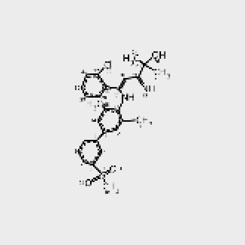 Cc1cc(-c2cccc(S(C)(=O)=O)c2)cc(C)c1N/C(=C\C(=N)C(C)(C)O)c1ccccc1Cl